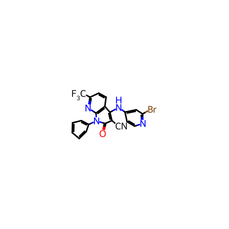 N#Cc1c(Nc2ccnc(Br)c2)c2ccc(C(F)(F)F)nc2n(-c2ccccc2)c1=O